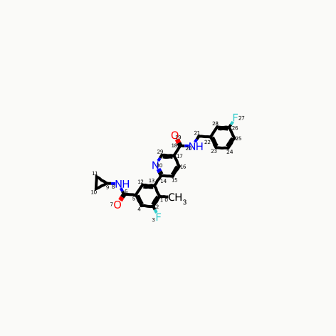 Cc1c(F)cc(C(=O)NC2CC2)cc1-c1ccc(C(=O)NCc2cccc(F)c2)cn1